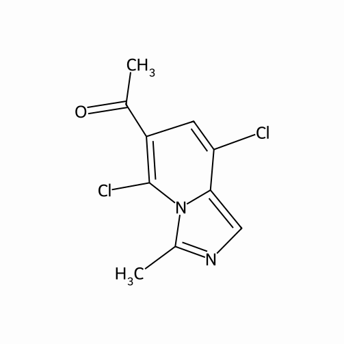 CC(=O)c1cc(Cl)c2cnc(C)n2c1Cl